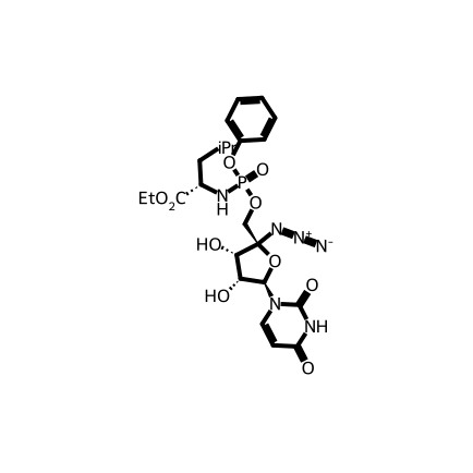 CCOC(=O)[C@H](CC(C)C)NP(=O)(OC[C@@]1(N=[N+]=[N-])O[C@@H](n2ccc(=O)[nH]c2=O)[C@H](O)[C@@H]1O)Oc1ccccc1